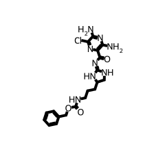 Nc1nc(N)c(C(=O)N=C2NCC(CCCNC(=O)OCc3ccccc3)N2)nc1Cl